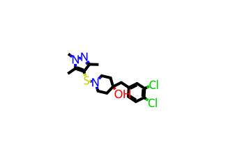 Cc1nn(C)c(C)c1SN1CCC(O)(Cc2ccc(Cl)c(Cl)c2)CC1